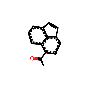 CC(=O)c1ccc2c3c(cccc13)C=C2